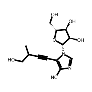 CC(C#Cc1c(C#N)ncn1[C@@H]1O[C@H](CO)[C@@H](O)[C@H]1O)CO